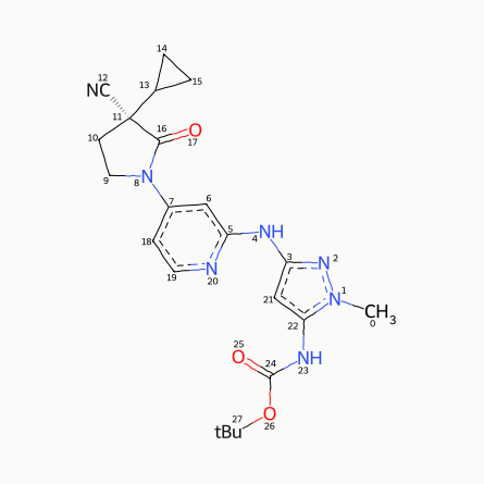 Cn1nc(Nc2cc(N3CC[C@@](C#N)(C4CC4)C3=O)ccn2)cc1NC(=O)OC(C)(C)C